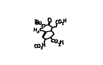 CCC(C)OC(=O)C(CC(=O)O)C1CC(C(=O)O)C(C(=O)O)C=C1C